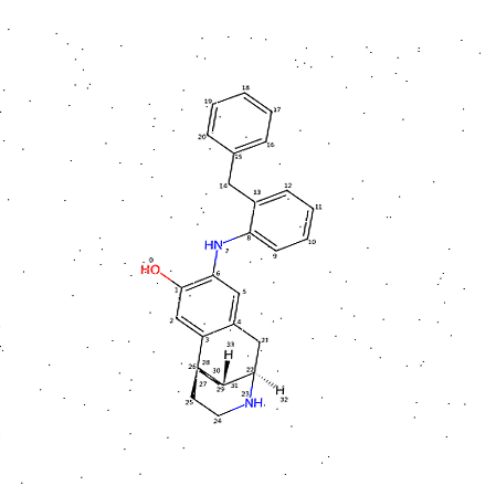 Oc1cc2c(cc1Nc1ccccc1Cc1ccccc1)C[C@H]1NCC[C@@]23CCCC[C@@H]13